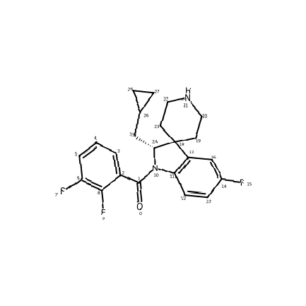 O=C(c1cccc(F)c1F)N1c2ccc(F)cc2C2(CCNCC2)[C@H]1CC1CC1